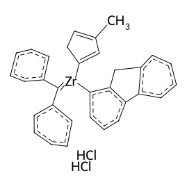 CC1=CC[C]([Zr](=[C](c2ccccc2)c2ccccc2)[c]2cccc3c2Cc2ccccc2-3)=C1.Cl.Cl